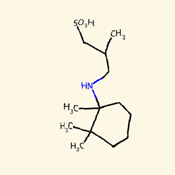 CC(CNC1(C)CCCCC1(C)C)CS(=O)(=O)O